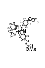 COC(=O)CCc1ccc2c(c1)nc(Nc1ccc(OC(F)(F)F)cc1)n2[C@@H]1CC(C)(C)c2ccccc21